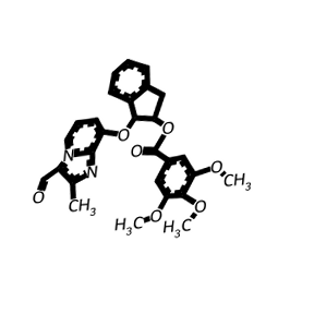 COc1cc(C(=O)OC2Cc3ccccc3C2Oc2cccn3c(C=O)c(C)nc23)cc(OC)c1OC